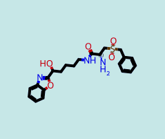 N[C@@H](CS(=O)(=O)Cc1ccccc1)C(=O)NCCCCC(O)c1nc2ccccc2o1